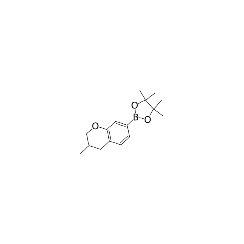 CC1COc2cc(B3OC(C)(C)C(C)(C)O3)ccc2C1